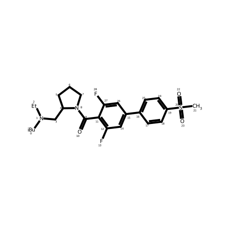 CCC(C)N(CC)CC1CCCN1C(=O)c1c(F)cc(-c2ccc(S(C)(=O)=O)cc2)cc1F